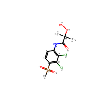 CCS(=O)(=O)c1ccc(NC(=O)[C@@](C)(OO)C(F)(F)F)c(Cl)c1Cl